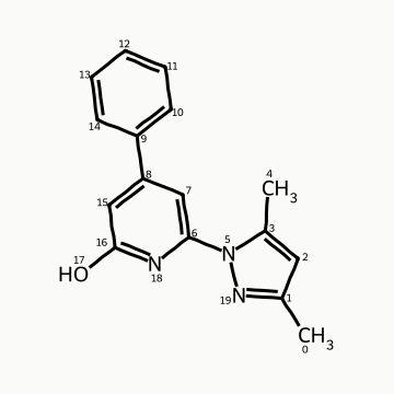 Cc1cc(C)n(-c2cc(-c3ccccc3)cc(O)n2)n1